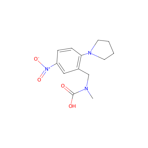 CN(Cc1cc([N+](=O)[O-])ccc1N1CCCC1)C(=O)O